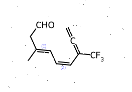 C=C=C(/C=C\C=C(/C)CC=O)C(F)(F)F